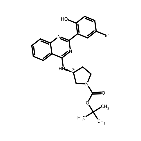 CC(C)(C)OC(=O)N1CC[C@H](Nc2nc(-c3cc(Br)ccc3O)nc3ccccc23)C1